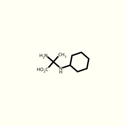 CC(N)(NC1CCCCC1)C(=O)O